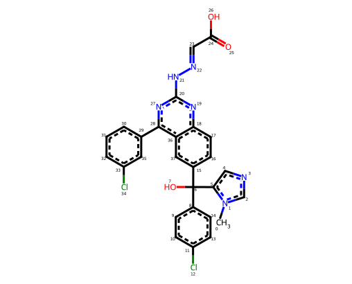 Cn1cncc1C(O)(c1ccc(Cl)cc1)c1ccc2nc(NN=CC(=O)O)nc(-c3cccc(Cl)c3)c2c1